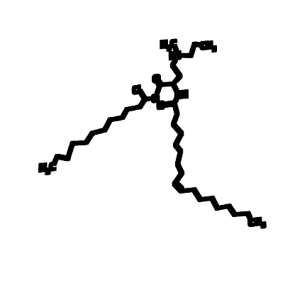 CCCCCCCC/C=C\CCCCCCCC(=O)N[C@H](CC[SH](C)CCC)C(=O)OC(Cl)CCCCCCCCCCC